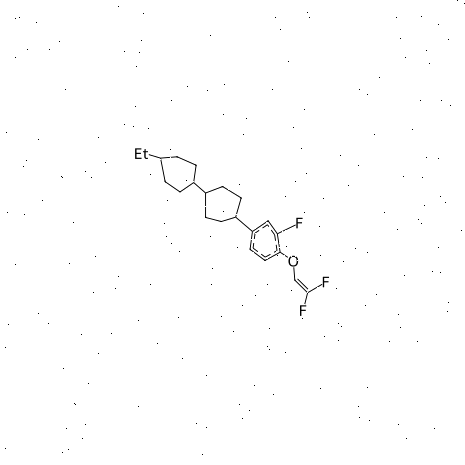 CCC1CCC(C2CCC(c3ccc(OC=C(F)F)c(F)c3)CC2)CC1